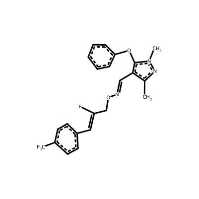 Cc1nn(C)c(Oc2ccccc2)c1C=NOCC(F)=Cc1ccc(C(F)(F)F)cc1